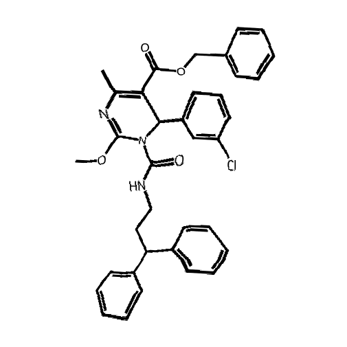 COC1=NC(C)=C(C(=O)OCc2ccccc2)C(c2cccc(Cl)c2)N1C(=O)NCCC(c1ccccc1)c1ccccc1